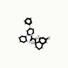 CC[C@@H](C(=O)N1CC[C@@H](c2ccccc2)C[C@H]1C1CCCCC1)[C@]1(CC)CCCc2cc(Cl)cc(F)c21